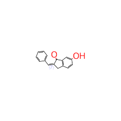 O=C1/C(=C\c2ccccc2)Cc2ccc(O)cc21